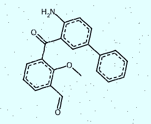 COc1c(C=O)cccc1C(=O)c1cc(-c2ccccc2)ccc1N